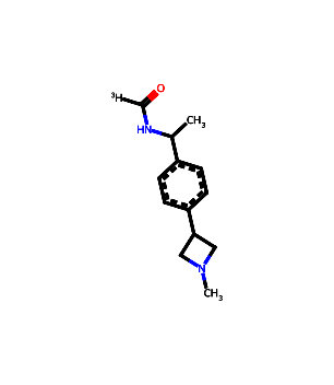 [3H]C(=O)NC(C)c1ccc(C2CN(C)C2)cc1